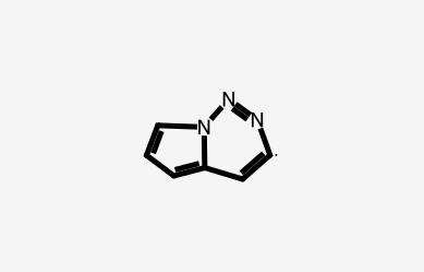 [c]1cc2cccn2nn1